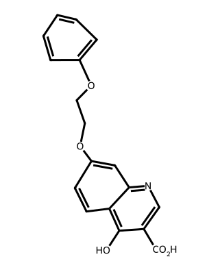 O=C(O)c1cnc2cc(OCCOc3ccccc3)ccc2c1O